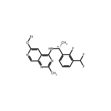 CCOc1cc2c(N[C@H](C)c3cccc(C(F)F)c3F)nc(C)nc2cn1